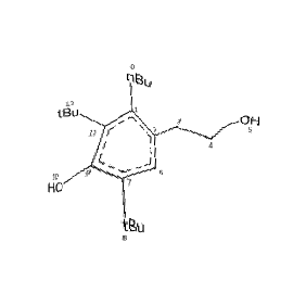 CCCCc1c(CCO)cc(C(C)(C)C)c(O)c1C(C)(C)C